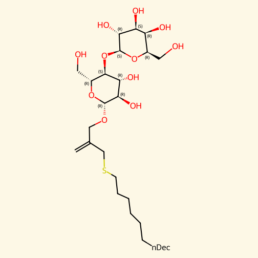 C=C(CO[C@@H]1O[C@H](CO)[C@@H](O[C@@H]2O[C@H](CO)[C@H](O)[C@H](O)[C@H]2O)[C@H](O)[C@H]1O)CSCCCCCCCCCCCCCCCC